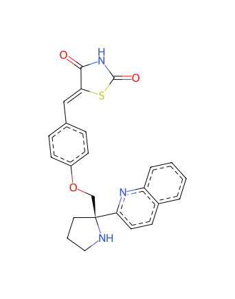 O=C1NC(=O)C(=Cc2ccc(OC[C@]3(c4ccc5ccccc5n4)CCCN3)cc2)S1